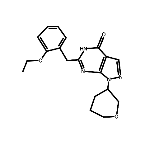 CCOc1ccccc1Cc1nc2c(cnn2C2CCCOC2)c(=O)[nH]1